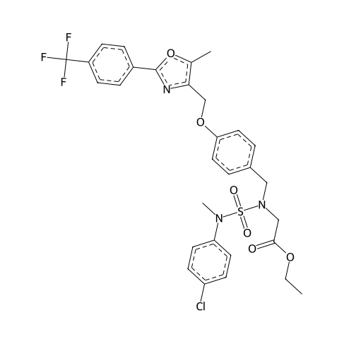 CCOC(=O)CN(Cc1ccc(OCc2nc(-c3ccc(C(F)(F)F)cc3)oc2C)cc1)S(=O)(=O)N(C)c1ccc(Cl)cc1